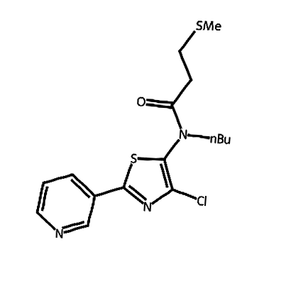 CCCCN(C(=O)CCSC)c1sc(-c2cccnc2)nc1Cl